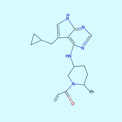 C=CC(=O)N1CC(Nc2ncnc3[nH]cc(CC4CC4)c23)CCC1C(C)C